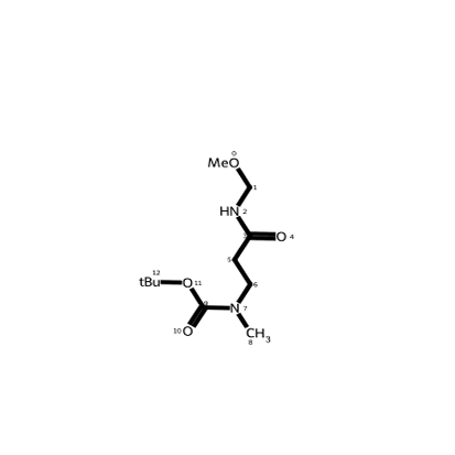 COCNC(=O)CCN(C)C(=O)OC(C)(C)C